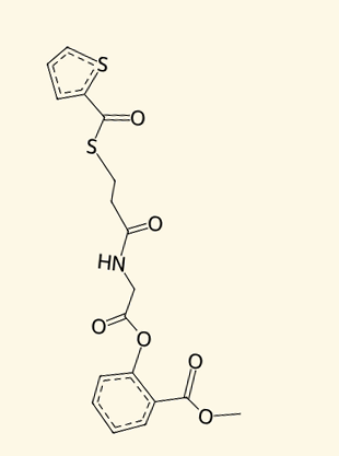 COC(=O)c1ccccc1OC(=O)CNC(=O)CCSC(=O)c1cccs1